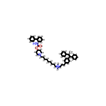 CC/C(=C(\c1ccccc1)c1ccc(CCC[N+](C)(C)CCCCCCCCCN2CCC(OC(=O)Nc3ccccc3-c3ccccc3)CC2)cc1)c1ccccc1